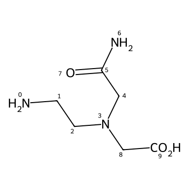 NCCN(CC(N)=O)CC(=O)O